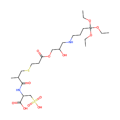 CCO[Si](CCCNCC(O)COC(=O)CCSCC(C)C(=O)NC(CS(=O)(=O)O)C(=O)O)(OCC)OCC